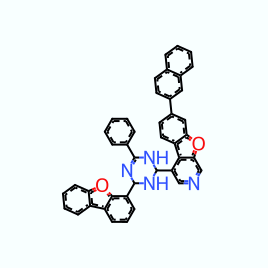 c1ccc(C2=NC(c3cccc4c3oc3ccccc34)NC(c3cncc4oc5cc(-c6ccc7ccccc7c6)ccc5c34)N2)cc1